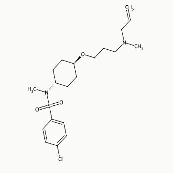 C=CCN(C)CCCO[C@H]1CC[C@H](N(C)S(=O)(=O)c2ccc(Cl)cc2)CC1